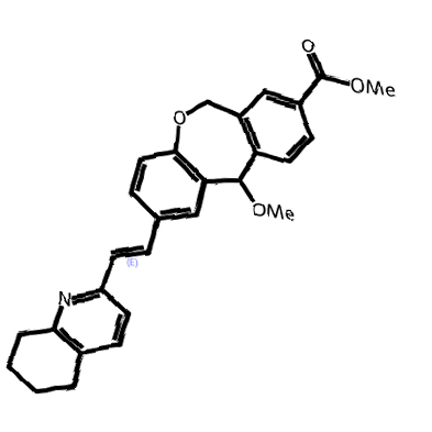 COC(=O)c1ccc2c(c1)COc1ccc(/C=C/c3ccc4c(n3)CCCC4)cc1C2OC